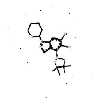 CC1(C)OB(c2c(Cl)c(Cl)cc3c2cnn3C2CCCCO2)OC1(C)C